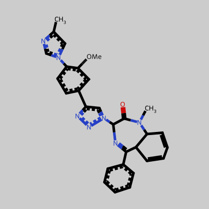 COc1cc(-c2cn(C3N=C(c4ccccc4)C4C=CC=CC4N(C)C3=O)nn2)ccc1-n1cnc(C)c1